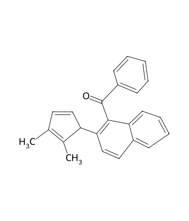 CC1=C(C)C(c2ccc3ccccc3c2C(=O)c2ccccc2)C=C1